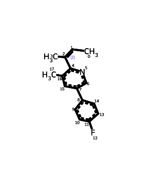 C/C=C(/C)c1ncc(-c2ccc(F)cc2)cc1C